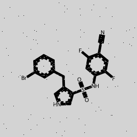 N#Cc1cc(F)c(NS(=O)(=O)c2c[nH]cc2Cc2cccc(Br)c2)cc1F